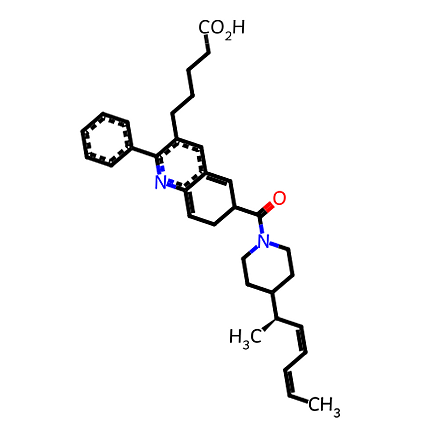 C/C=C\C=C/[C@@H](C)C1CCN(C(=O)C2C=c3cc(CCCCC(=O)O)c(-c4ccccc4)nc3=CC2)CC1